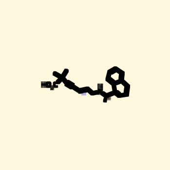 C[C@@H](NC/C=C/C#CC(C)(C)C(=O)O)c1cccc2ccccc12